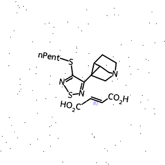 CCCCCSc1nsnc1C1CN2CCC1CC2.O=C(O)/C=C/C(=O)O